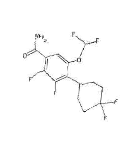 Cc1c(F)c(C(N)=O)cc(OC(F)F)c1C1CCC(F)(F)CC1